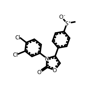 C[S+]([O-])c1ccc(-c2coc(=O)n2-c2ccc(Cl)c(Cl)c2)cc1